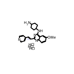 COc1ccc2nc(/C=C/c3ccncc3)nc(NC3CCC(N)CC3)c2c1.Cl.Cl.Cl